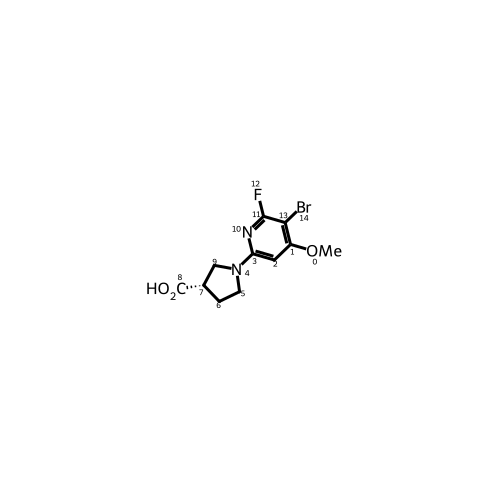 COc1cc(N2CC[C@H](C(=O)O)C2)nc(F)c1Br